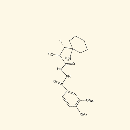 COc1ccc(C(=O)NNC(=O)C(O)[C@H](C)C2(N)CCCCC2)cc1OC